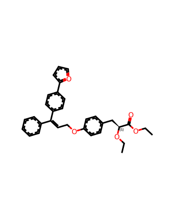 CCOC(=O)[C@H](Cc1ccc(OCC=C(c2ccccc2)c2ccc(-c3ccco3)cc2)cc1)OCC